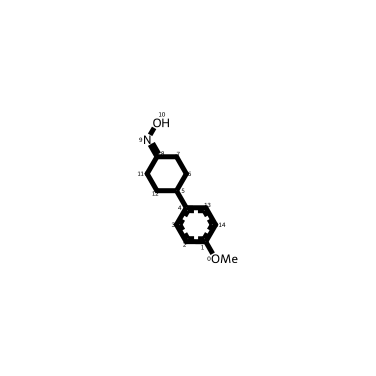 COc1ccc(C2CCC(=NO)CC2)cc1